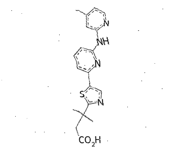 Cc1ccnc(Nc2cccc(-c3cnc(C(C)(C)CC(=O)O)s3)n2)c1